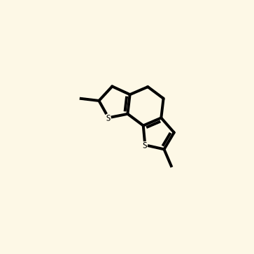 Cc1cc2c(s1)C1=C(CC2)CC(C)S1